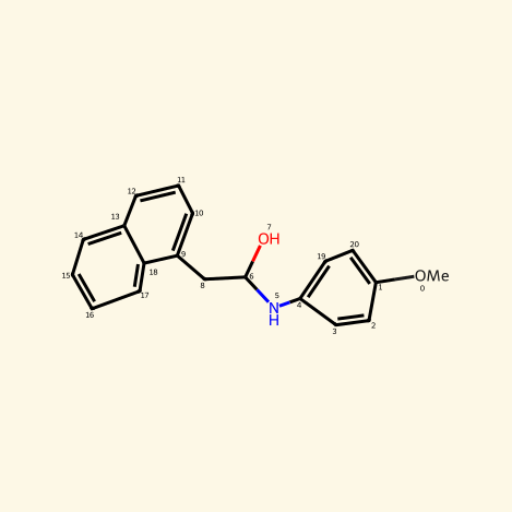 COc1ccc(NC(O)Cc2cccc3ccccc23)cc1